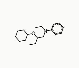 CCC(CN(CC)c1ccccc1)OC1CCCCC1